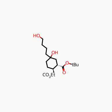 CCOC(=O)[C@H]1CCC(O)(CCCCO)C[C@@H]1C(=O)OC(C)(C)C